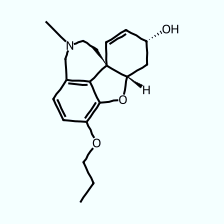 CCCOc1ccc2c3c1O[C@H]1C[C@@H](O)C=C[C@@]31CCN(C)C2